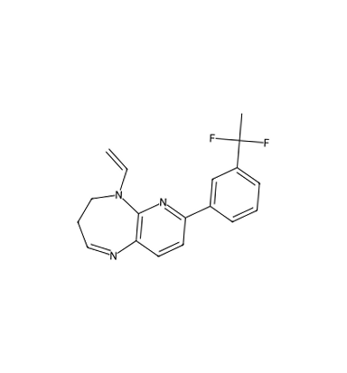 C=CN1CCC=Nc2ccc(-c3cccc(C(C)(F)F)c3)nc21